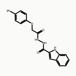 CC(C)c1ccc(OCC(=O)NNC(=O)c2cc3ccccc3[nH]2)cc1